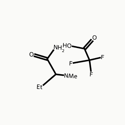 CCC(NC)C(N)=O.O=C(O)C(F)(F)F